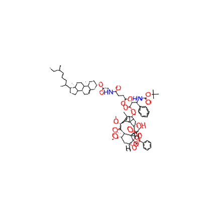 CCC(C)CCCC(C)C1CCC2C3CC=C4C[C@@H](OC(=O)CNC(=O)CCC(=O)O[C@@H](C(=O)O[C@H]5C[C@@]6(O)[C@@H](OC(=O)c7ccccc7)[C@@H]7[C@]8(OC(C)=O)CO[C@@H]8C[C@H](OC)[C@@]7(C)C(=O)[C@H](OC)C(=C5C)C6(C)C)[C@@H](NC(=O)OC(C)(C)C)c5ccccc5)CC[C@]4(C)C3CC[C@]12C